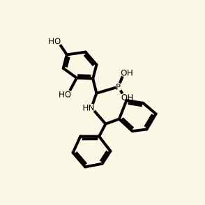 Oc1ccc(C(NC(c2ccccc2)c2ccccc2)P(O)O)c(O)c1